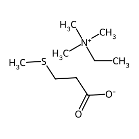 CC[N+](C)(C)C.CSCCC(=O)[O-]